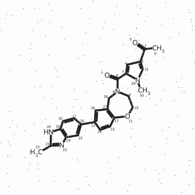 CC(=O)c1cc(C(=O)N2CCOc3ccc(-c4ccc5[nH]c(C)nc5c4)cc3C2)n(C)c1